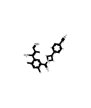 C/C(C=N)=C(/N)c1cc(C(=O)N2CC(c3ccc(C#N)cc3)C2)c(C)cc1C